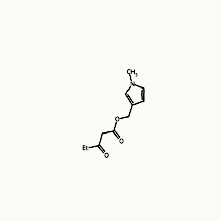 CCC(=O)CC(=O)OCc1ccn(C)c1